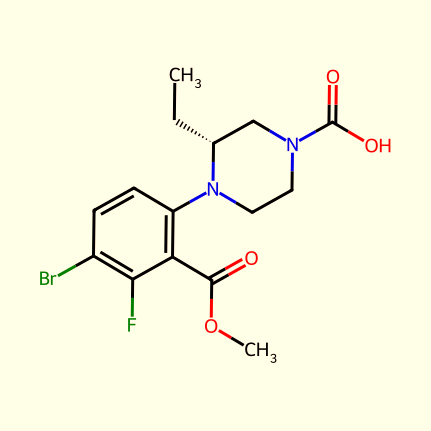 CC[C@@H]1CN(C(=O)O)CCN1c1ccc(Br)c(F)c1C(=O)OC